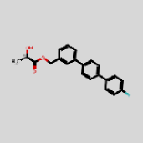 C[C@@H](O)C(=O)OCc1cccc(-c2ccc(-c3ccc(F)cc3)cc2)c1